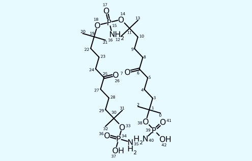 CC(C)(CCCC(=O)CCCC(C)(C)OP(N)(=O)OC(C)(C)CCCC(=O)CCCC(C)(C)OP(N)(=O)O)OP(N)(=O)O